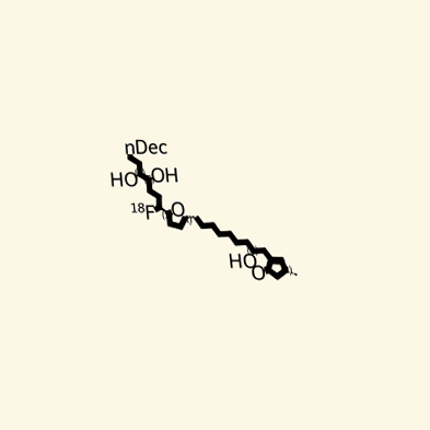 CCCCCCCCCCCC[C@@H](O)[C@H](O)CCC([18F])[C@@H]1CC[C@@H](CCCCCCC[C@@H](O)CC2=C[C@H](C)CC2=O)O1